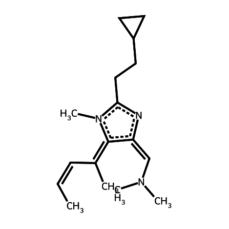 C\C=C/C(C)=c1/c(=C\N(C)C)nc(CCC2CC2)n1C